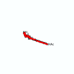 CC(=O)NCCOCCOCCOCCOCCOCCOCCOCCOCCC(=O)NCCS(=O)(=O)c1ccc(C(=O)N2CCOc3ccc(-c4ccc(N)nc4)cc3C2)c(C)c1F